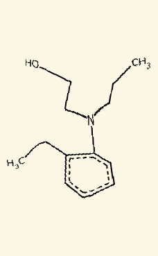 CCCN(CCO)c1ccccc1CC